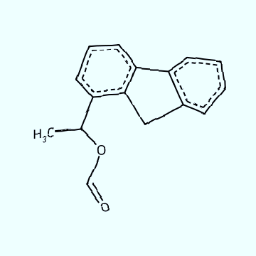 CC(OC=O)c1cccc2c1Cc1ccccc1-2